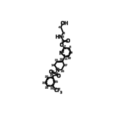 O=C(NCCO)Oc1cccc(C2=CCN(S(=O)(=O)c3cccc(C(F)(F)F)c3)CC2)n1